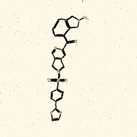 CN1Cc2cccc(C(=O)c3cc4c(cn3)CN(S(=O)(=O)c3ccc(-c5ncco5)cc3)C4)c2C1